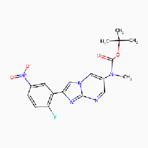 CN(C(=O)OC(C)(C)C)c1cnc2nc(-c3cc([N+](=O)[O-])ccc3F)cn2c1